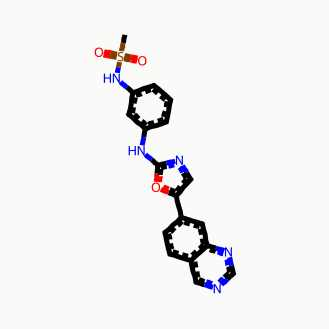 CS(=O)(=O)Nc1cccc(Nc2ncc(-c3ccc4cncnc4c3)o2)c1